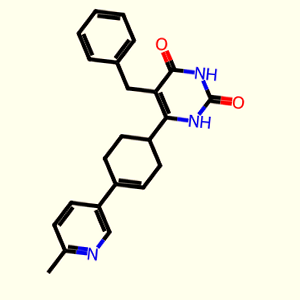 Cc1ccc(C2=CCC(c3[nH]c(=O)[nH]c(=O)c3Cc3ccccc3)CC2)cn1